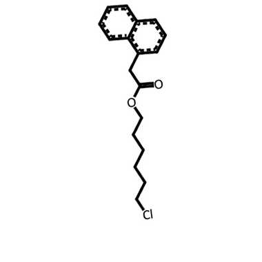 O=C(Cc1cccc2ccccc12)OCCCCCCCl